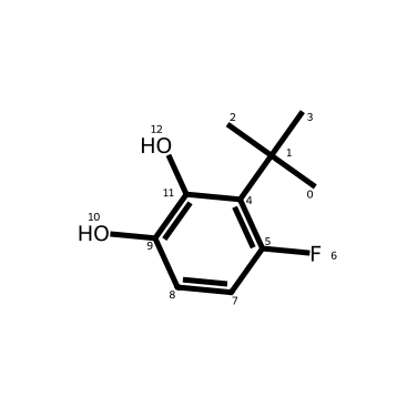 CC(C)(C)c1c(F)ccc(O)c1O